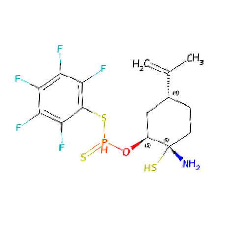 C=C(C)[C@@H]1CC[C@](N)(S)[C@@H](O[PH](=S)Sc2c(F)c(F)c(F)c(F)c2F)C1